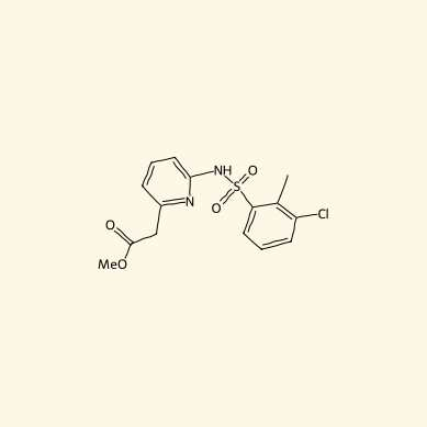 COC(=O)Cc1cccc(NS(=O)(=O)c2cccc(Cl)c2C)n1